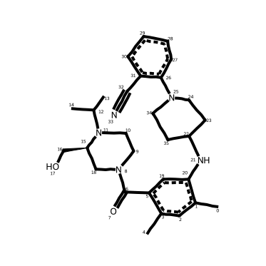 Cc1cc(C)c(C(=O)N2CCN(C(C)C)[C@H](CO)C2)cc1NC1CCN(c2ccccc2C#N)CC1